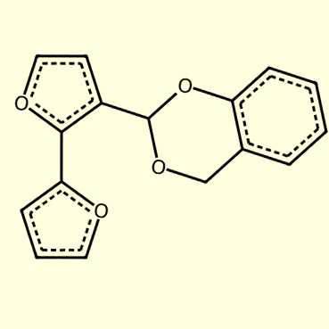 c1coc(-c2occc2C2OCc3ccccc3O2)c1